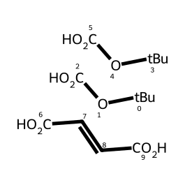 CC(C)(C)OC(=O)O.CC(C)(C)OC(=O)O.O=C(O)/C=C/C(=O)O